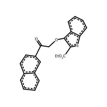 CCOC(=O)c1sc2ccccc2c1OCC(=O)c1ccc2ccccc2c1